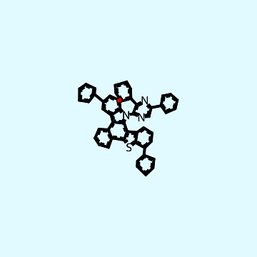 c1ccc(-c2ccc3c(c2)c2c4ccccc4c4sc5c(-c6ccccc6)cccc5c4c2n3-c2ncc(-c3ccccc3)nc2-c2ccccc2)cc1